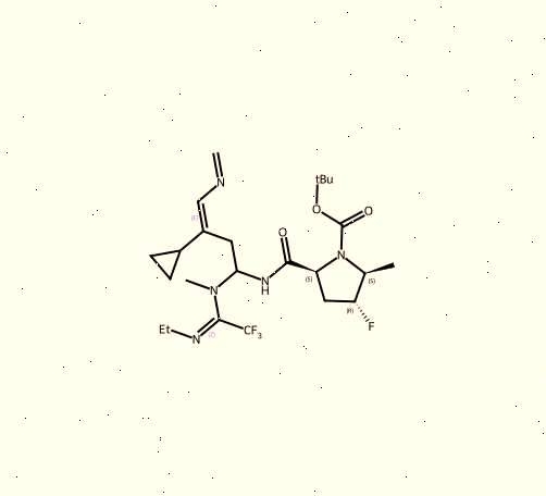 C=N/C=C(\CC(NC(=O)[C@@H]1C[C@@H](F)[C@H](C)N1C(=O)OC(C)(C)C)N(C)/C(=N\CC)C(F)(F)F)C1CC1